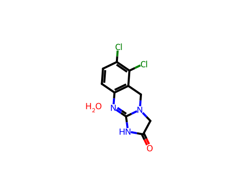 O.O=C1CN2Cc3c(ccc(Cl)c3Cl)N=C2N1